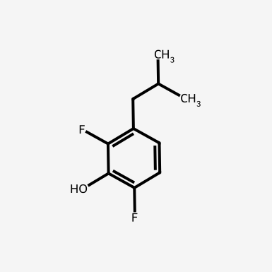 CC(C)Cc1ccc(F)c(O)c1F